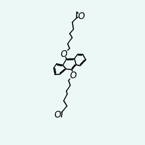 c1ccc2c(OCCCCCCC3CO3)c3ccccc3c(OCCCCCCC3CO3)c2c1